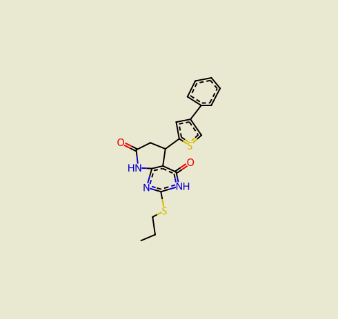 CCCSc1nc2c(c(=O)[nH]1)C(c1cc(-c3ccccc3)cs1)CC(=O)N2